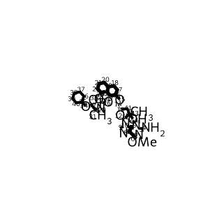 COc1nc(N)nc2c1ncn2C1O[C@H](COc2ccc3ccccc3c2O/[P+]([O-])=N/[C@@H](C)C(=O)OC2CCCCC2)C[C@@]1(C)O